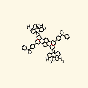 CC1(C)c2ccccc2N(c2cccc(-c3ccc(-c4cccc(-c5ccc(C(=O)c6ccccc6)cc5)c4)c4c(-c5cccc(N6c7ccccc7C(C)(C)c7ccccc76)c5)ccc(-c5cccc(-c6ccc(C(=O)c7ccccc7)cc6)c5)c34)c2)c2ccccc21